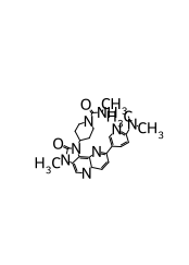 CNC(=O)N1CCC(n2c(=O)n(C)c3cnc4ccc(-c5ccc(N(C)C)nc5)nc4c32)CC1